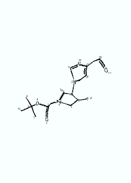 CC(C)(C)OC(=O)N1CC(F)C(n2cnc(C=O)c2)C1